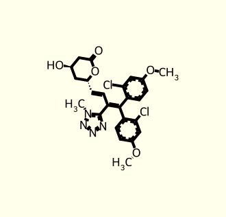 COc1ccc(C(=C(/C=C/[C@@H]2C[C@@H](O)CC(=O)O2)c2nnnn2C)c2ccc(OC)cc2Cl)c(Cl)c1